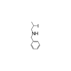 CC(I)CNCc1ccccc1